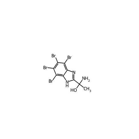 CC(N)(O)c1nc2c(Br)c(Br)c(Br)c(Br)c2[nH]1